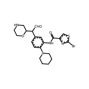 O=CC(c1ccc(N2CCCCC2)c(NC(=O)c2csc(Br)n2)c1)C1CNCCO1